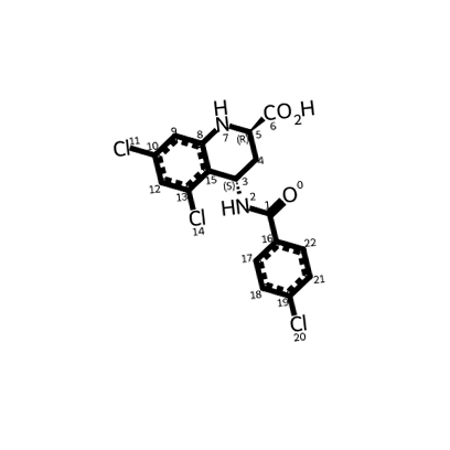 O=C(N[C@H]1C[C@H](C(=O)O)Nc2cc(Cl)cc(Cl)c21)c1ccc(Cl)cc1